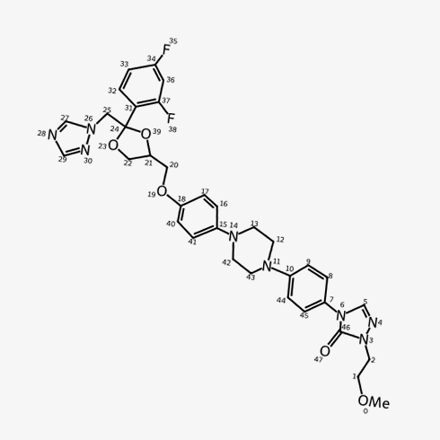 COCCn1ncn(-c2ccc(N3CCN(c4ccc(OCC5COC(Cn6cncn6)(c6ccc(F)cc6F)O5)cc4)CC3)cc2)c1=O